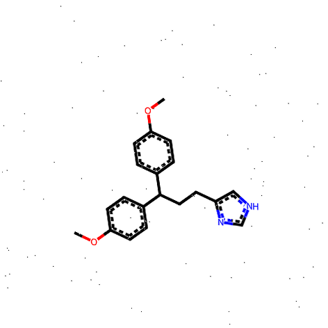 COc1ccc(C(CCc2c[nH]cn2)c2ccc(OC)cc2)cc1